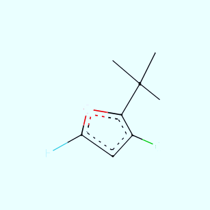 CC(C)(C)c1oc(F)cc1Cl